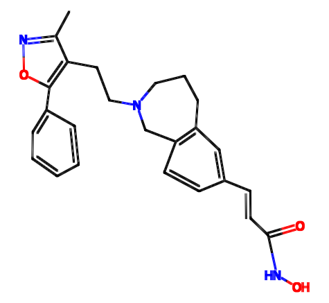 Cc1noc(-c2ccccc2)c1CCN1CCCc2cc(C=CC(=O)NO)ccc2C1